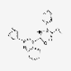 COC(=O)[C@H](NC(=O)c1cc(-c2ccsc2)nc2ccccc12)c1ccccc1